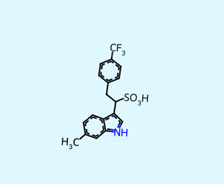 Cc1ccc2c(C(Cc3ccc(C(F)(F)F)cc3)S(=O)(=O)O)c[nH]c2c1